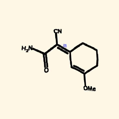 COC1=C/C(=C(/C#N)C(N)=O)CCC1